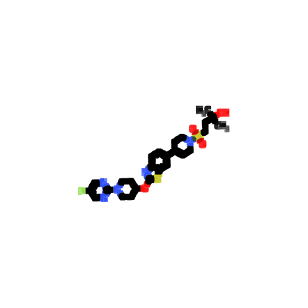 CC(C)(O)CCS(=O)(=O)N1CC=C(c2ccc3nc(OC4CCN(c5ncc(F)cn5)CC4)sc3c2)CC1